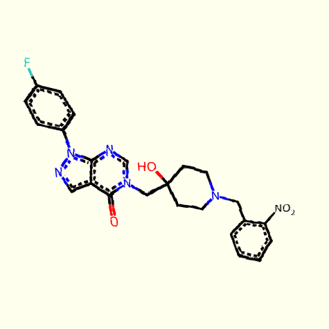 O=c1c2cnn(-c3ccc(F)cc3)c2ncn1CC1(O)CCN(Cc2ccccc2[N+](=O)[O-])CC1